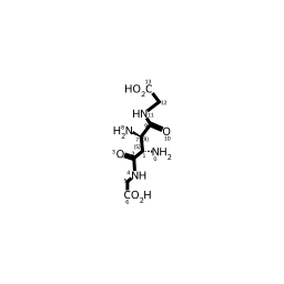 N[C@H](C(=O)NCC(=O)O)[C@@H](N)C(=O)NCC(=O)O